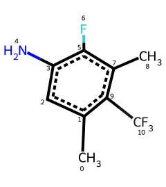 Cc1cc(N)c(F)c(C)c1C(F)(F)F